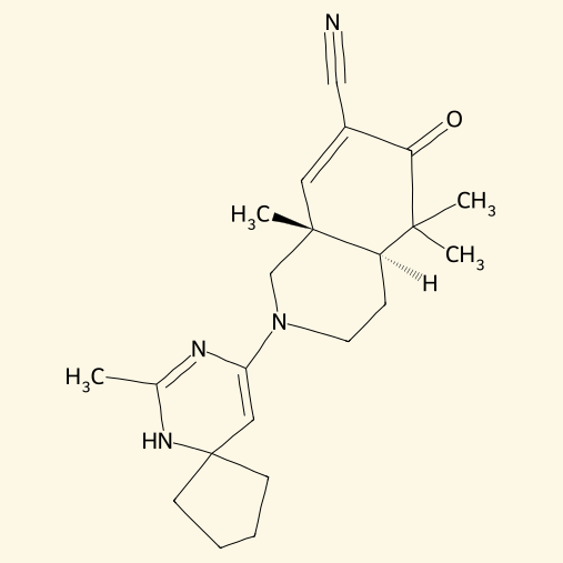 CC1=NC(N2CC[C@@H]3C(C)(C)C(=O)C(C#N)=C[C@@]3(C)C2)=CC2(CCCC2)N1